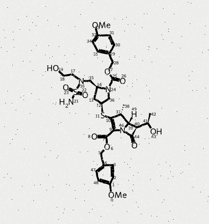 COc1ccc(COC(=O)C2=C(S[C@H]3C[C@@H](CN(CCO)S(N)(=O)=O)N(C(=O)OCc4ccc(OC)cc4)C3)[C@H](C)[C@@H]3[C@@H]([C@@H](C)O)C(=O)N23)cc1